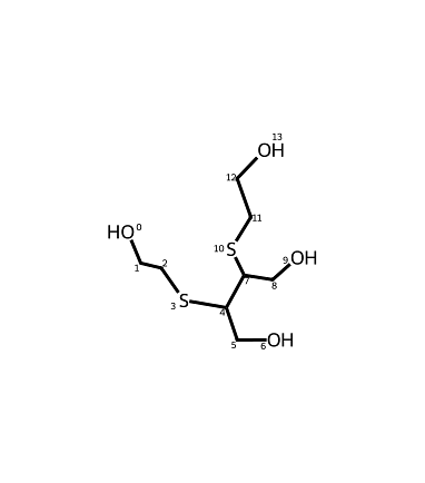 OCCSC(CO)C(CO)SCCO